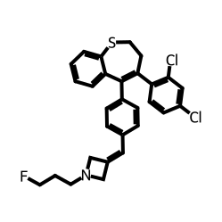 FCCCN1CC(=Cc2ccc(C3=C(c4ccc(Cl)cc4Cl)CCSc4ccccc43)cc2)C1